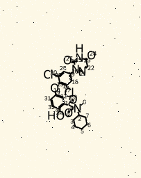 CN(C1CCCCC1)S(=O)(=O)c1cc(Oc2c(Cl)cc(-n3ncc(=O)[nH]c3=O)cc2Cl)ccc1O